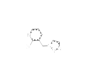 Brc1ncccc1Cn1ccnn1